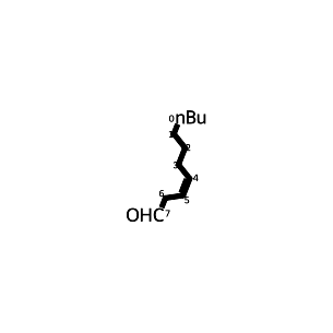 CCCCCCC/C=C\CC=O